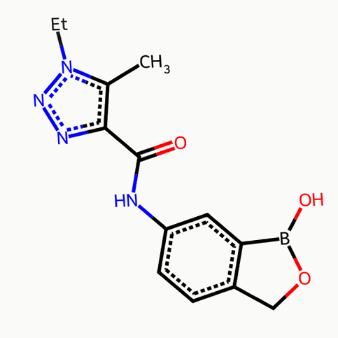 CCn1nnc(C(=O)Nc2ccc3c(c2)B(O)OC3)c1C